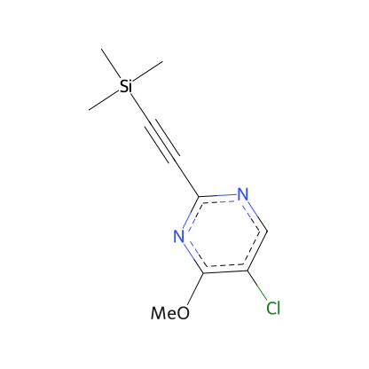 COc1nc(C#C[Si](C)(C)C)ncc1Cl